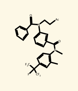 CC(=O)CCN(C(=O)c1ccccc1)c1cccc(C(=O)N(C)c2ccc(C(F)(C(F)(F)F)C(F)(F)F)cc2C)c1